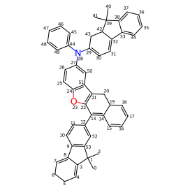 CC1(C)C2=CCCC=C2c2ccc(C3=C4C=CC=CC4Cc4c3oc3ccc(N(C5=CC=C6c7ccccc7C(C)(C)C6C5)c5ccccc5)cc43)cc21